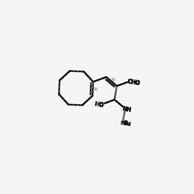 CCCCNC(O)/C(C=O)=C\C1=C\CCCCCC1